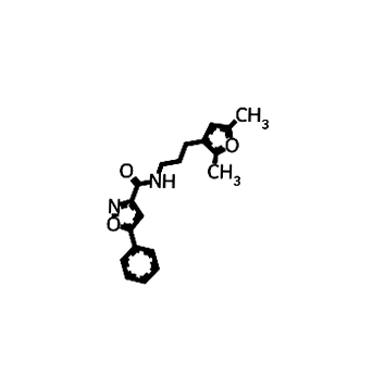 Cc1cc(CCCNC(=O)c2cc(-c3ccccc3)on2)c(C)o1